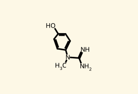 CN(C(=N)N)c1ccc(O)cc1